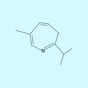 CC1=CN=C(C(C)C)CC=C1